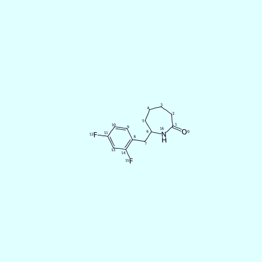 O=C1CCCCC(Cc2ccc(F)cc2F)N1